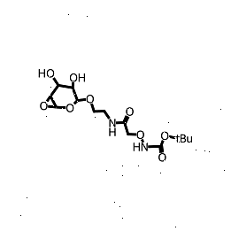 CC(C)(C)OC(=O)NOCC(=O)NCCOC1OC2OC2C(O)C1O